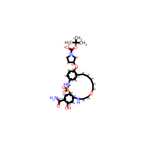 CC(C)(C)OC(=O)N1CCC(Oc2ccc3cc2CCCCCOCCNc2cc(O)c(C(N)=O)cc2S(=O)(=O)N3)C1